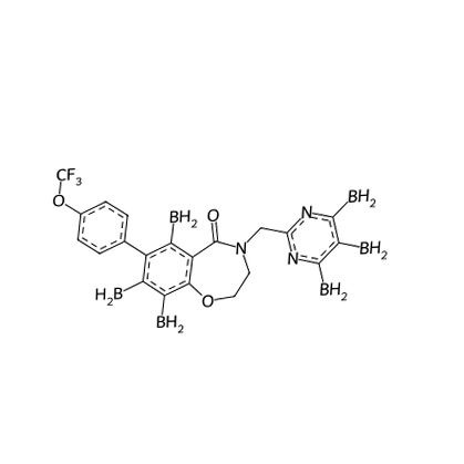 Bc1nc(CN2CCOc3c(B)c(B)c(-c4ccc(OC(F)(F)F)cc4)c(B)c3C2=O)nc(B)c1B